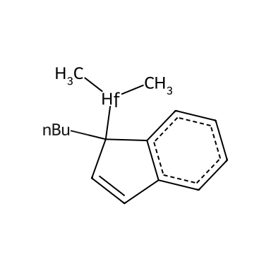 CCCC[C]1([Hf]([CH3])[CH3])C=Cc2ccccc21